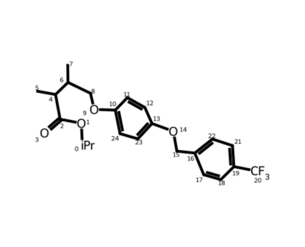 CC(C)OC(=O)C(C)C(C)COc1ccc(OCc2ccc(C(F)(F)F)cc2)cc1